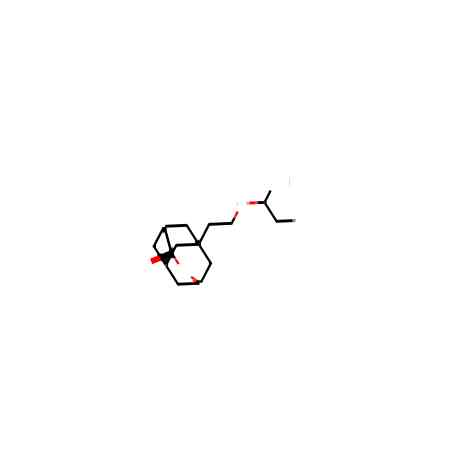 CCC(C)OCCC12CC3CC(C1)OC(=O)C(C3)C2